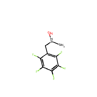 O[SiH]([SiH3])Cc1c(F)c(F)c(F)c(F)c1F